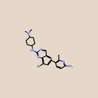 CCc1cc(-c2ccc(N)nc2C)cc2cnc(NC3CCC(N(C)C)CC3)nc12